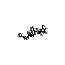 O=C(NC/C=N\OCC1CCCCC1)c1ccc(C2=NOC(c3cc(Cl)c(F)c(Cl)c3)(C(F)(F)F)C2)c2ccccc12